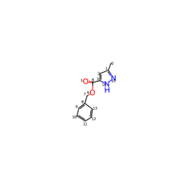 Cc1cc(C(=O)OCc2ccccc2)[nH]n1